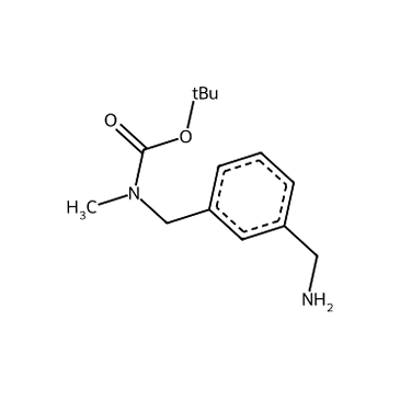 CN(Cc1cccc(CN)c1)C(=O)OC(C)(C)C